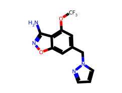 Nc1noc2cc(Cn3cccn3)cc(OC(F)(F)F)c12